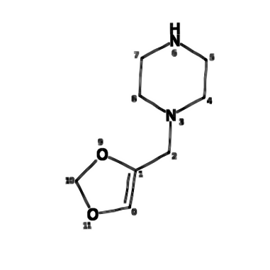 C1=C(CN2CCNCC2)OCO1